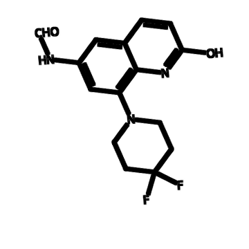 O=CNc1cc(N2CCC(F)(F)CC2)c2nc(O)ccc2c1